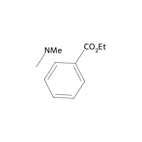 CCOC(=O)c1ccccc1.CNC